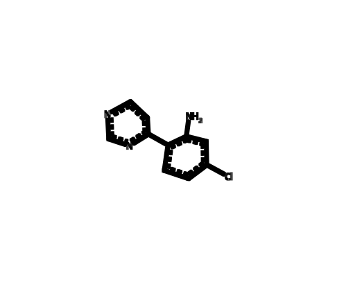 Nc1cc(Cl)ccc1-c1ccncn1